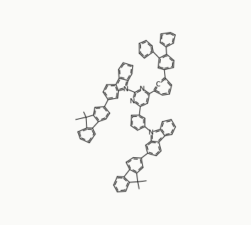 CC1(C)c2ccccc2-c2ccc(-c3ccc4c5ccccc5n(-c5cccc(-c6cc(-c7cccc(-c8ccc(-c9ccccc9)c(-c9ccccc9)c8)c7)nc(-n7c8ccccc8c8ccc(-c9ccc%10c(c9)C(C)(C)c9ccccc9-%10)cc87)n6)c5)c4c3)cc21